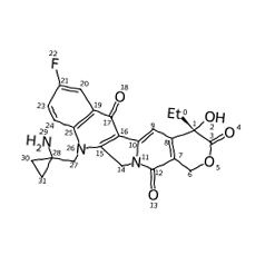 CC[C@@]1(O)C(=O)OCc2c1cc1n(c2=O)Cc2c-1c(=O)c1cc(F)ccc1n2CC1(N)CC1